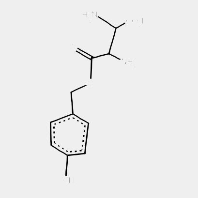 Cc1ccc(COC(=O)C(N)C(N)C(=O)O)cc1